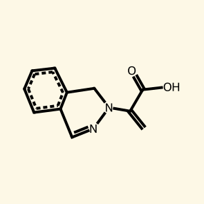 C=C(C(=O)O)N1Cc2ccccc2C=N1